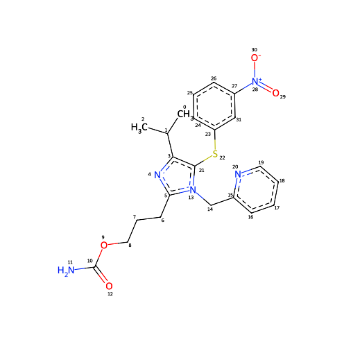 CC(C)c1nc(CCCOC(N)=O)n(Cc2ccccn2)c1Sc1cccc([N+](=O)[O-])c1